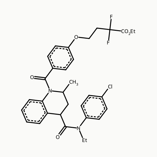 CCOC(=O)C(F)(F)CCOc1ccc(C(=O)N2c3ccccc3C(C(=O)N(CC)c3ccc(Cl)cc3)CC2C)cc1